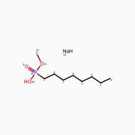 CCCCCCCCP(=O)(O)OI.[NaH]